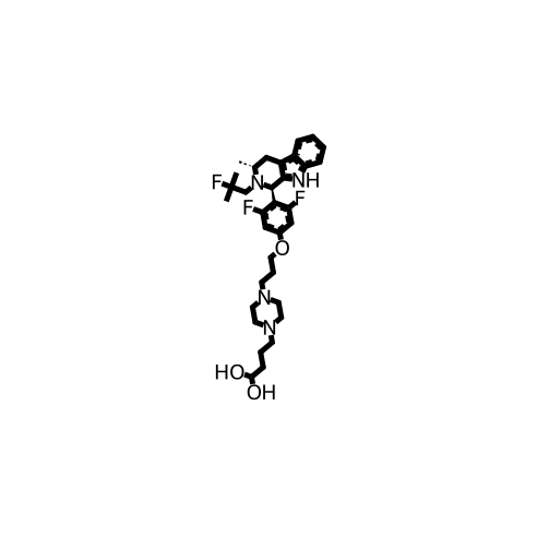 C[C@@H]1Cc2c([nH]c3ccccc23)[C@@H](c2c(F)cc(OCCCN3CCN(CCCC(O)O)CC3)cc2F)N1CC(C)(C)F